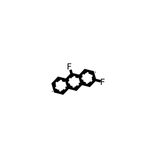 Fc1[c]cc2c(F)c3cc[c]cc3cc2c1